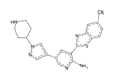 N#Cc1ccc2sc(-c3cc(-c4cnn(C5CCNCC5)c4)cnc3N)nc2c1